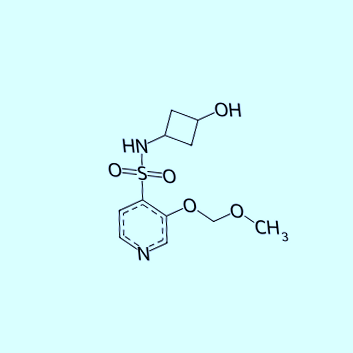 COCOc1cnccc1S(=O)(=O)NC1CC(O)C1